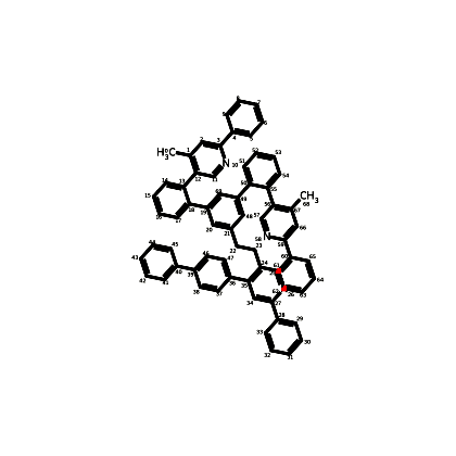 Cc1cc(-c2ccccc2)ncc1-c1ccccc1-c1cc(CCc2cnc(-c3ccccc3)cc2-c2ccc(-c3ccccc3)cc2)cc(-c2ccccc2-c2cnc(-c3ccccc3)cc2C)c1